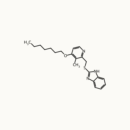 CCCCCCCOc1ccnc(CSc2nc3ccccc3[nH]2)c1C